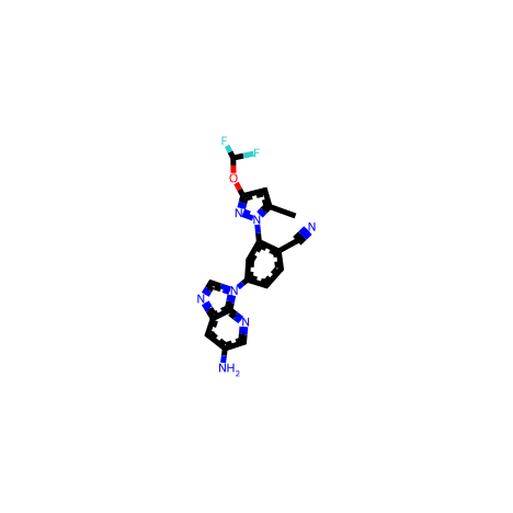 Cc1cc(OC(F)F)nn1-c1cc(-n2cnc3cc(N)cnc32)ccc1C#N